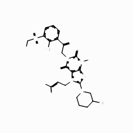 CCS(=O)(=O)c1cccc(C(=O)Cn2c(=O)c3c(nc(N4CCCC(N)C4)n3CC=C(C)C)n(C)c2=O)c1N